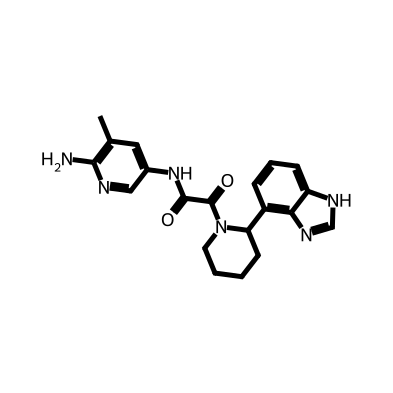 Cc1cc(NC(=O)C(=O)N2CCCCC2c2cccc3[nH]cnc23)cnc1N